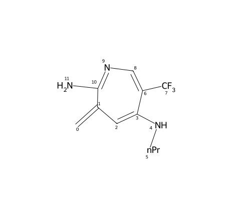 C=C1C=C(NCCC)C(C(F)(F)F)=CN=C1N